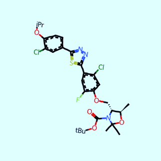 CC(C)Oc1ccc(-c2nnc(-c3cc(F)c(OC[C@@H]4[C@@H](C)OC(C)(C)N4C(=O)OC(C)(C)C)cc3Cl)s2)cc1Cl